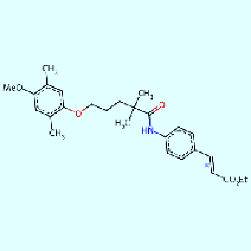 CCOC(=O)/C=C/c1ccc(NC(=O)C(C)(C)CCCOc2cc(C)c(OC)cc2C)cc1